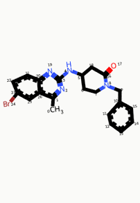 Cc1nc(NC2CCN(Cc3ccccc3)C(=O)C2)nc2ccc(Br)cc12